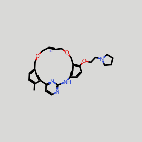 Cc1ccc2cc1-c1ccnc(n1)Nc1ccc(OCCN3CCCC3)c(c1)COC/C=C/COC2